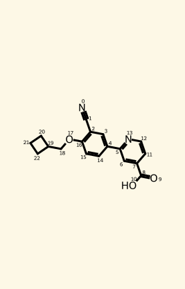 N#Cc1cc(-c2cc(C(=O)O)ccn2)ccc1OCC1CCC1